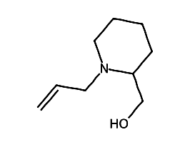 C=CCN1CCCCC1CO